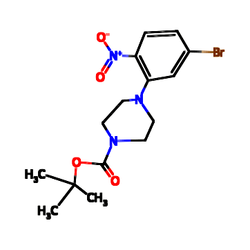 CC(C)(C)OC(=O)N1CCN(c2cc(Br)ccc2[N+](=O)[O-])CC1